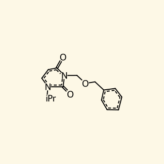 CC(C)n1ccc(=O)n(COCc2ccccc2)c1=O